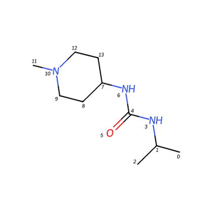 CC(C)NC(=O)NC1CCN(C)CC1